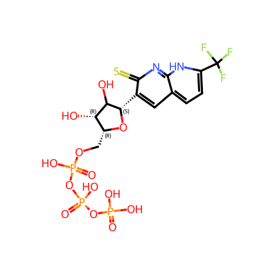 O=P(O)(O)OP(=O)(O)OP(=O)(O)OC[C@H]1O[C@@H](c2cc3ccc(C(F)(F)F)[nH]c-3nc2=S)C(O)[C@H]1O